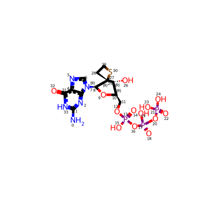 Nc1nc2c(ncn2[C@@H]2O[C@H](COP(=O)(O)OP(=O)(O)OP(=O)(O)O)[C@@H](O)[C@]23CCS3)c(=O)[nH]1